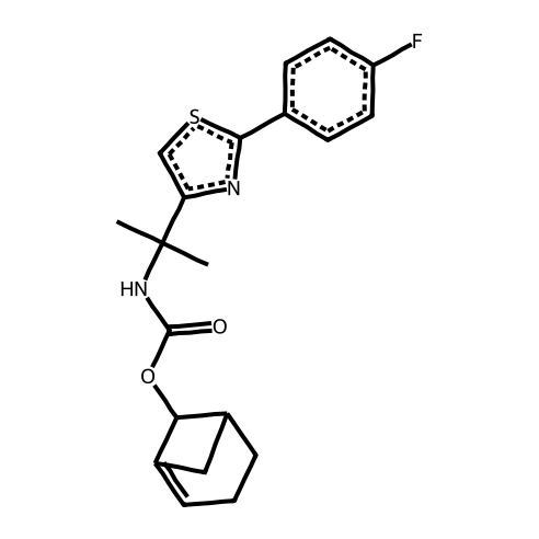 CC(C)(NC(=O)OC1C2=CCCC1C2)c1csc(-c2ccc(F)cc2)n1